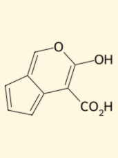 O=C(O)c1c2cccc-2coc1O